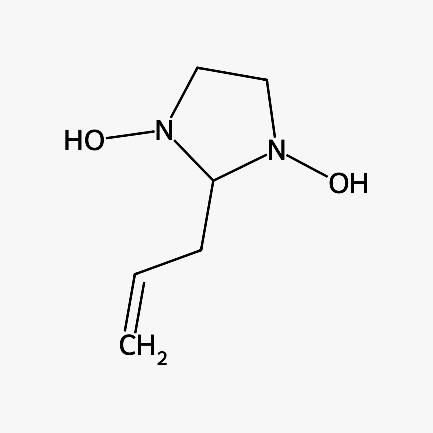 C=CCC1N(O)CCN1O